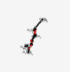 C=C(C)C(=O)OCCCCCCCCOc1ccc(C(=O)Oc2ccc(OC(=O)/C=C/c3ccc(-c4ccc(OCCC(C)(COC(=O)C(=C)C)COC(=O)C(=C)C)cc4)cc3)c(C)c2)c(CC)c1